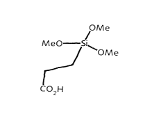 CO[Si](CCC(=O)O)(OC)OC